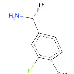 CC[C@@H](N)c1ccc(OC)c(F)c1